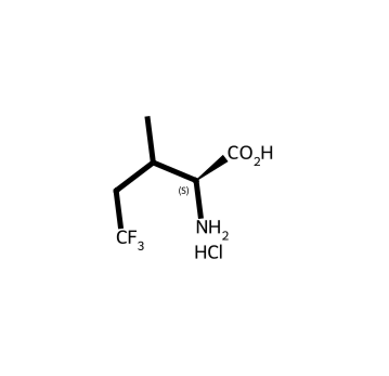 CC(CC(F)(F)F)[C@H](N)C(=O)O.Cl